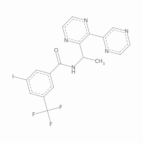 CC(NC(=O)c1cc(I)cc(C(F)(F)F)c1)c1nccnc1-c1cnccn1